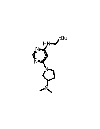 CN(C)C1CCN(c2cc(NCC(C)(C)C)ncn2)C1